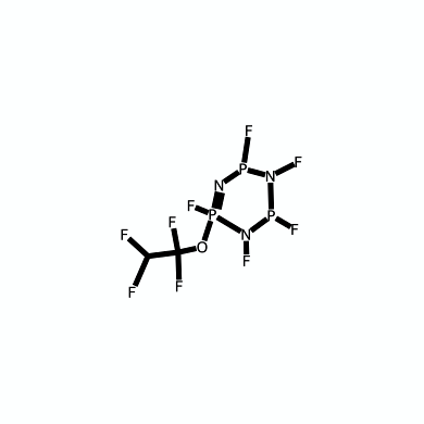 FC(F)C(F)(F)OP1(F)=NP(F)N(F)P(F)N1F